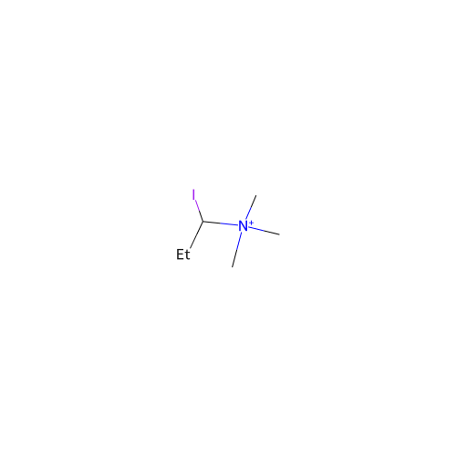 CCC(I)[N+](C)(C)C